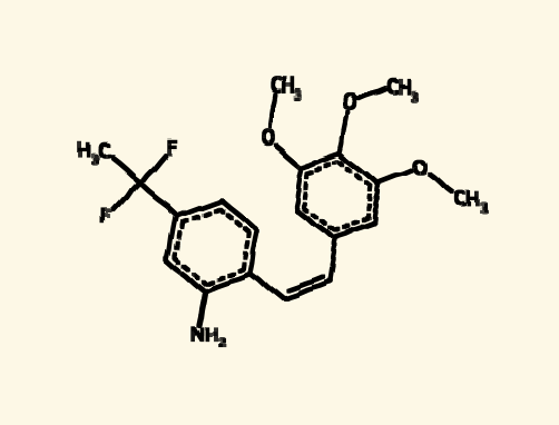 COc1cc(/C=C\c2ccc(C(C)(F)F)cc2N)cc(OC)c1OC